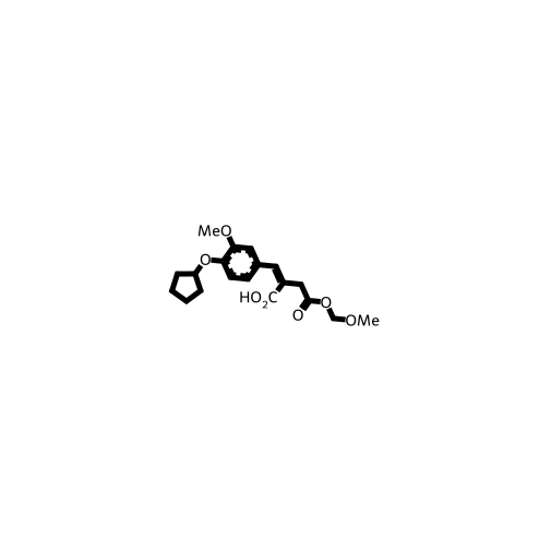 COCOC(=O)C/C(=C/c1ccc(OC2CCCC2)c(OC)c1)C(=O)O